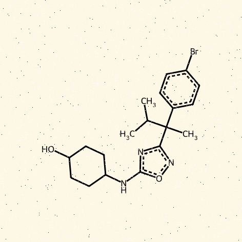 CC(C)C(C)(c1ccc(Br)cc1)c1noc(NC2CCC(O)CC2)n1